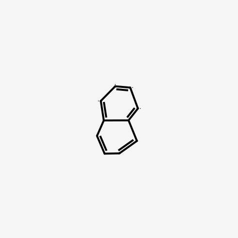 [c]1[c][c]c2ccccc2[c]1